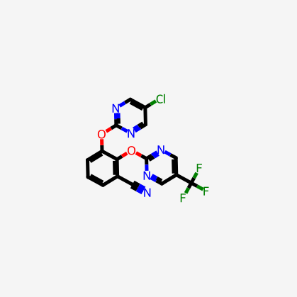 N#Cc1cccc(Oc2ncc(Cl)cn2)c1Oc1ncc(C(F)(F)F)cn1